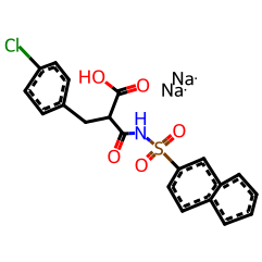 O=C(O)C(Cc1ccc(Cl)cc1)C(=O)NS(=O)(=O)c1ccc2ccccc2c1.[Na].[Na]